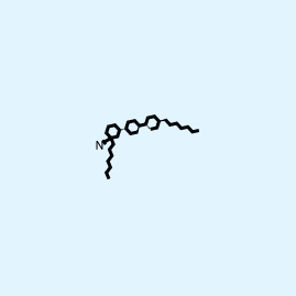 CCCCCCCC1(C#N)CCCC([C@H]2CC[C@H]([C@H]3CC[C@H](CCCCCCC)CC3)CC2)C1